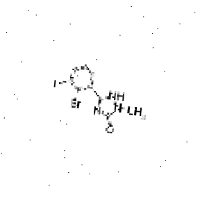 Cn1[nH]c(-c2cccc(F)c2Br)nc1=O